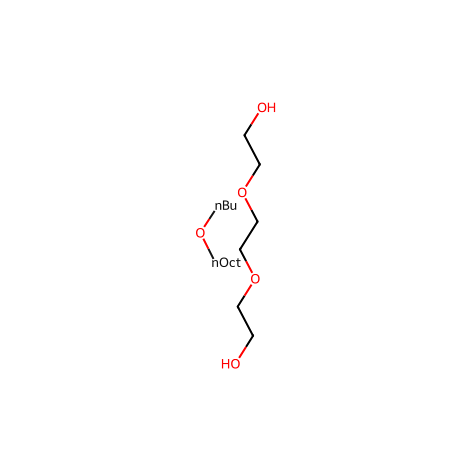 CCCCCCCCOCCCC.OCCOCCOCCO